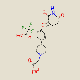 O=C(O)C(F)(F)F.O=C(O)CN1CCC(c2ccc(O[C@H]3CCC(=O)NC3=O)cc2)CC1